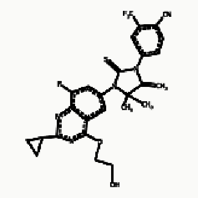 C=C1N(c2ccc(C#N)c(C(F)(F)F)c2)C(=S)N(c2cc(F)c3nc(C4CC4)nc(OCCO)c3c2)C1(C)C